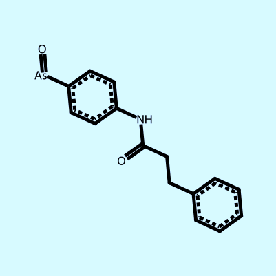 O=[As]c1ccc(NC(=O)CCc2ccccc2)cc1